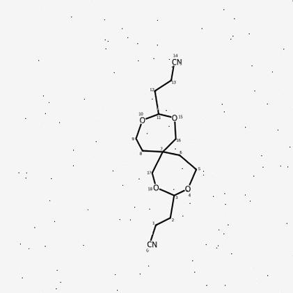 N#CCCC1OCCC2(CCOC(CCC#N)OC2)CO1